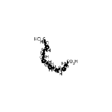 Cn1cc(NC(=O)c2cccc(NC(=O)Nc3cccc(C(=O)Nc4cc(C(=O)Nc5cccc(CC(=O)NCC(=O)O)c5)n(C)c4)c3)c2)cc1C(=O)Nc1cccc(CC(=O)NCC(=O)O)c1